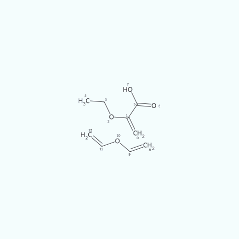 C=C(OCC)C(=O)O.C=COC=C